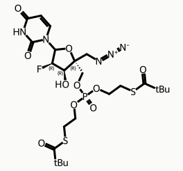 CC(C)(C)C(=O)SCCOP(=O)(OCCSC(=O)C(C)(C)C)OC[C@@]1(CN=[N+]=[N-])OC(n2ccc(=O)[nH]c2=O)[C@H](F)[C@@H]1O